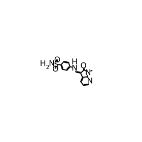 CN1C(=O)/C(=C\Nc2ccc(S(N)(=O)=O)cc2)c2cccnc21